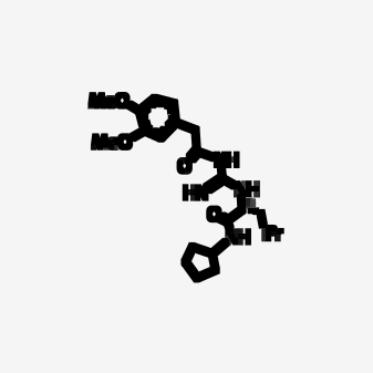 COc1ccc(CC(=O)NC(=N)N[C@H](CC(C)C)C(=O)NC2CCCC2)cc1OC